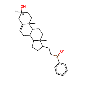 CC12CC[C@](C)(O)CC1=CCC1C2CCC2(C)C(CC[S+]([O-])c3ccccc3)CCC12